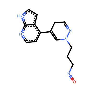 O=NCCCN1C=C(c2ccnc3[nH]ccc23)CC=N1